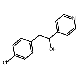 OC(Cc1ccc(Cl)cc1)c1ccncc1